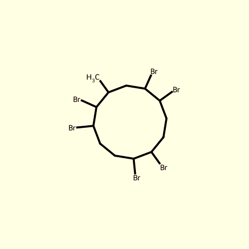 CC1CC(Br)C(Br)CCC(Br)C(Br)CCC(Br)C1Br